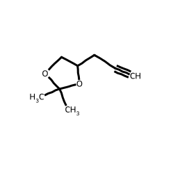 C#CCC1COC(C)(C)O1